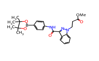 COC(=O)CCn1nc(C(=O)Nc2ccc(B3OC(C)(C)C(C)(C)O3)cc2)c2ccccc21